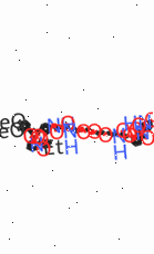 CCC(C)(C)C(=O)C(=O)N1CCCC[C@H]1C(=O)O[C@@H](CCc1ccc(OC)c(OC)c1)c1ccc(NC(=O)CCC(=O)NCCCOCCOCCOCCCNC(=O)COc2cccc3c2C(=O)N(C2CCC(=O)NC2=O)C3=O)cc1